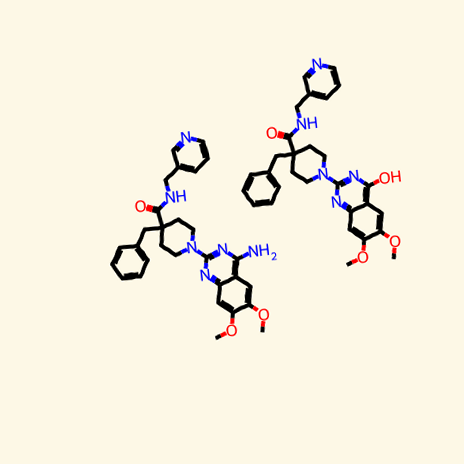 COc1cc2nc(N3CCC(Cc4ccccc4)(C(=O)NCc4cccnc4)CC3)nc(N)c2cc1OC.COc1cc2nc(N3CCC(Cc4ccccc4)(C(=O)NCc4cccnc4)CC3)nc(O)c2cc1OC